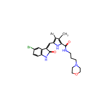 CC(=O)c1c(/C=C2\C(=O)Nc3ccc(Br)cc32)[nH]c(C(=O)NCCCN2CCOCC2)c1C